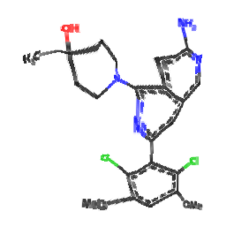 COc1cc(OC)c(Cl)c(-c2cc3cnc(N)cc3c(N3CCC(C)(O)CC3)n2)c1Cl